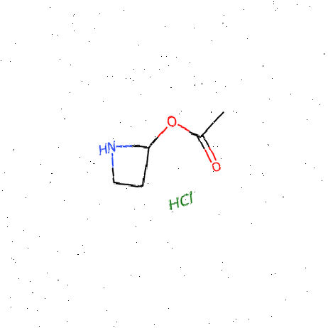 CC(=O)OC1CCN1.Cl